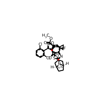 COC(=O)c1cc(F)c2nc(N3[C@@H]4CC[C@H]3CC(OC(=O)c3c(-c5c(Cl)cccc5Cl)noc3C3CC3)C4)sc2c1